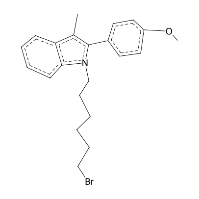 COc1ccc(-c2c(C)c3ccccc3n2CCCCCCBr)cc1